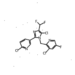 Fc1cnc(Cn2c(-c3ccc(Cl)nc3)nc(C(F)F)c2Cl)c(Cl)c1